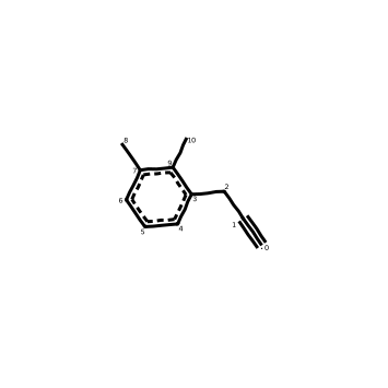 [C]#CCc1cccc(C)c1C